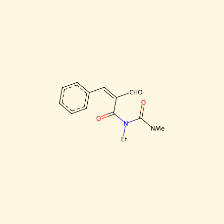 CCN(C(=O)NC)C(=O)C([C]=O)=Cc1ccccc1